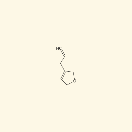 [CH]=CCC1=CCOC1